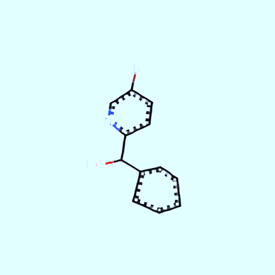 OC(c1ccccc1)c1ccc(Br)cn1